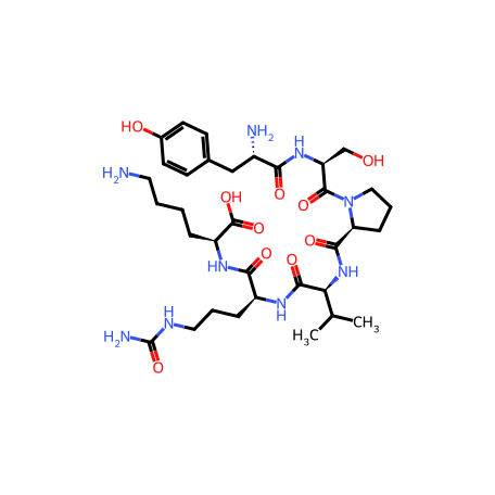 CC(C)[C@H](NC(=O)[C@@H]1CCCN1C(=O)[C@H](CO)NC(=O)[C@@H](N)Cc1ccc(O)cc1)C(=O)N[C@@H](CCCNC(N)=O)C(=O)N[C@@H](CCCCN)C(=O)O